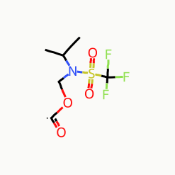 CC(C)N(CO[C]=O)S(=O)(=O)C(F)(F)F